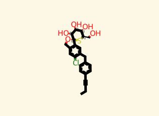 CCC#Cc1ccc(Cc2cc3c(cc2Cl)CO[C@]32S[C@H](CO)[C@@H](O)[C@H](O)[C@H]2O)cc1